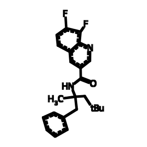 CC(C)(C)CC(C)(Cc1ccccc1)NC(=O)c1cnc2c(F)c(F)ccc2c1